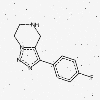 Fc1ccc(-c2nnn3c2CNCC3)cc1